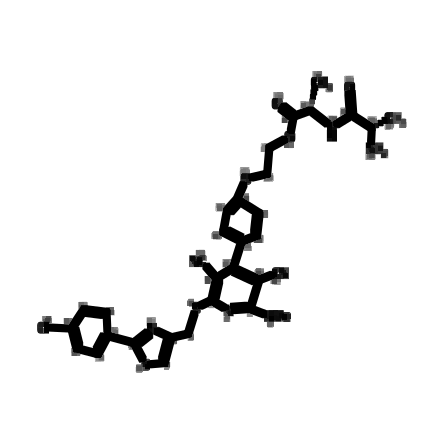 CNc1nc(SCc2csc(-c3ccc(Cl)cc3)n2)c(C#N)c(-c2ccc(OCCOC(=O)[C@H](C)NC(=O)[C@H](C)N)cc2)c1C#N